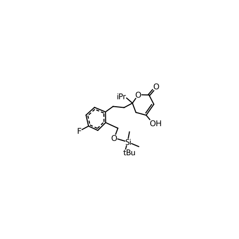 CC(C)C1(CCc2ccc(F)cc2CO[Si](C)(C)C(C)(C)C)CC(O)=CC(=O)O1